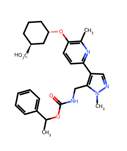 Cc1nc(-c2cnn(C)c2CNC(=O)OC(C)c2ccccc2)ccc1O[C@H]1CCC[C@H](C(=O)O)C1